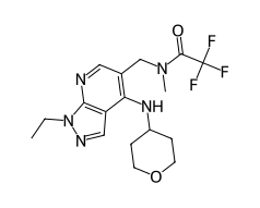 CCn1ncc2c(NC3CCOCC3)c(CN(C)C(=O)C(F)(F)F)cnc21